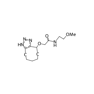 COCCNC(=O)COC1CCCCCc2[nH]nnc21